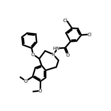 COc1cc2c(cc1OC)C(Oc1ccccc1)CN(NC(=O)c1cc(Cl)cc(Cl)c1)CC2